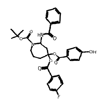 CC(C)(C)OC(=O)N1CCCC(OC(=O)c2ccc(O)cc2)(OC(=O)c2ccc(F)cc2)CC1NC(=O)c1ccccc1